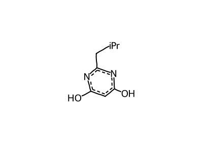 CC(C)Cc1nc(O)cc(O)n1